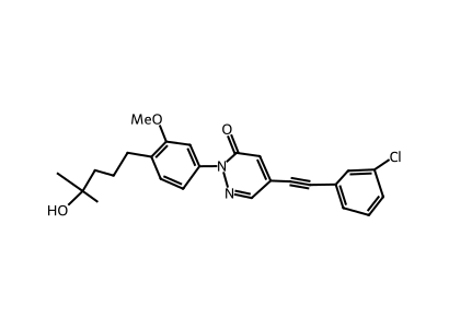 COc1cc(-n2ncc(C#Cc3cccc(Cl)c3)cc2=O)ccc1CCCC(C)(C)O